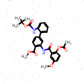 COC(=O)c1ccc(-c2ccccc2NC(=O)OC(C)(C)C)cc1NC(=O)c1cc(OC)ccc1OC(C)=O